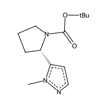 Cn1nccc1[C@@H]1CCCN1C(=O)OC(C)(C)C